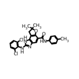 Cc1ccc(NC(=O)c2cc3nc(Nc4c(Cl)cccc4Cl)[nH]c3c3c2OC(C)(C)C3)cc1